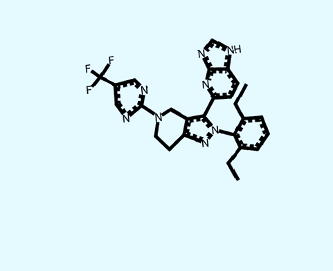 CCc1cccc(CC)c1-n1nc2c(c1-c1ccc3[nH]cnc3n1)CN(c1ncc(C(F)(F)F)cn1)CC2